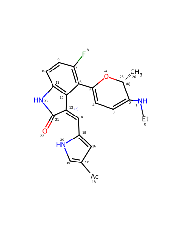 CCNC1=CC=C(c2c(F)ccc3c2/C(=C/c2cc(C(C)=O)c[nH]2)C(=O)N3)O[C@@H]1C